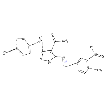 NC(=O)c1c(Nc2ccc(Cl)cc2)n[nH]c1/N=C/c1ccc(O)c([N+](=O)[O-])c1